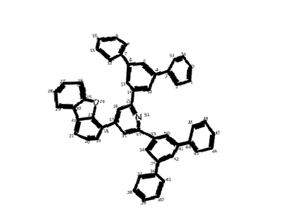 c1ccc(-c2cc(-c3ccccc3)cc(-c3cc(-c4cccc5c4oc4ccccc45)cc(-c4cc(-c5ccccc5)cc(-c5ccccc5)c4)n3)c2)cc1